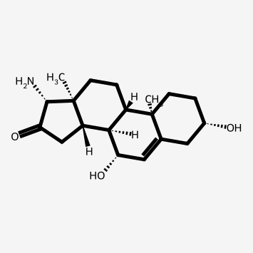 C[C@]12CC[C@H]3[C@@H]([C@@H](O)C=C4C[C@@H](O)CC[C@@]43C)[C@@H]1CC(=O)[C@@H]2N